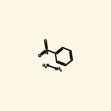 NN.O=[SH](=O)c1ccccc1